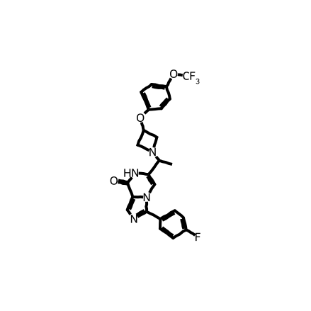 CC(c1cn2c(-c3ccc(F)cc3)ncc2c(=O)[nH]1)N1CC(Oc2ccc(OC(F)(F)F)cc2)C1